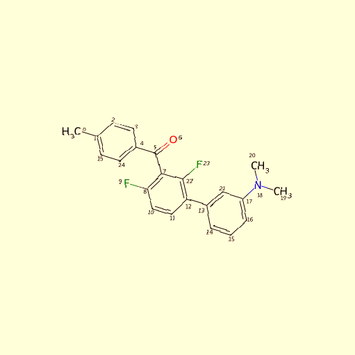 Cc1ccc(C(=O)c2c(F)ccc(-c3cccc(N(C)C)c3)c2F)cc1